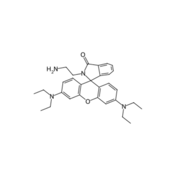 CCN(CC)c1ccc2c(c1)Oc1cc(N(CC)CC)ccc1C21c2ccccc2C(=O)N1CCN